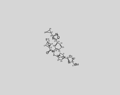 CC(C)(C)c1noc(C23CCC(CN(C(=O)C45CC(F)(C4)C5)c4cccc(-c5nc(C6CC6)no5)c4)(CC2)CC3)n1